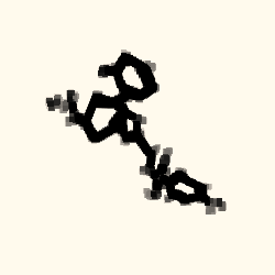 COc1cc2c(c(-c3ccccc3Cl)c1)OC(COS(=O)(=O)c1ccc(C)cc1)C2